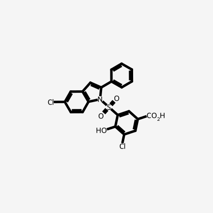 O=C(O)c1cc(Cl)c(O)c(S(=O)(=O)n2c(-c3ccccc3)cc3cc(Cl)ccc32)c1